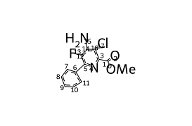 COC(=O)c1nc(-c2ccccc2)c(F)c(N)c1Cl